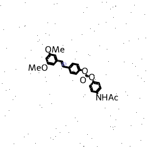 COc1cc(/C=C/c2ccc(OC(=O)Oc3ccc(NC(C)=O)cc3)cc2)cc(OC)c1